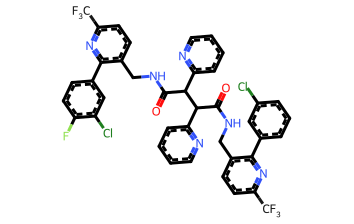 O=C(NCc1ccc(C(F)(F)F)nc1-c1cccc(Cl)c1)C(c1ccccn1)C(C(=O)NCc1ccc(C(F)(F)F)nc1-c1ccc(F)c(Cl)c1)c1ccccn1